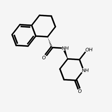 O=C1CC[C@@H](NC(=O)[C@H]2CCCc3ccccc32)C(O)N1